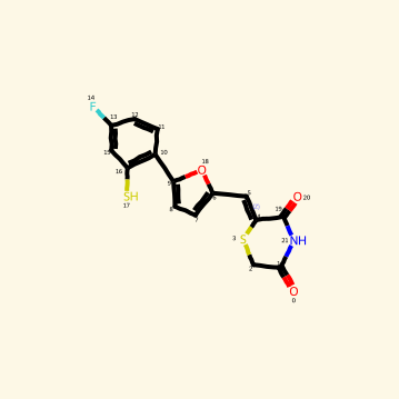 O=C1CS/C(=C\c2ccc(-c3ccc(F)cc3S)o2)C(=O)N1